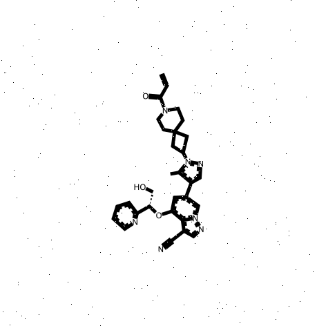 C=CC(=O)N1CCC2(CC1)CC(n1ncc(-c3cc(O[C@@H](CO)c4ccccn4)c4c(C#N)cnn4c3)c1C)C2